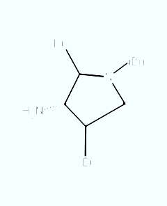 CCC1CN(C(C)CC)C(CC)[C@H]1N